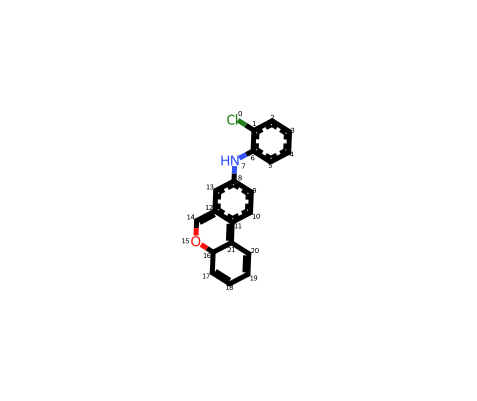 Clc1ccccc1Nc1ccc2c(c1)=COC1C=CC=CC=21